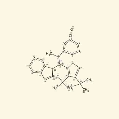 C/[C](c1ccccc1)=[Zr+2](/[C]1=C(C(C)(C)C)C(C(C)(C)C)=CC1)[CH]1C=Cc2ccccc21.[Cl-].[Cl-]